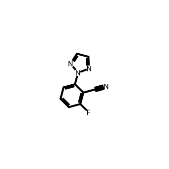 N#Cc1c(F)cccc1-n1nccn1